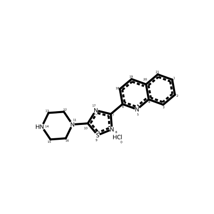 Cl.c1ccc2nc(-c3nsc(N4CCNCC4)n3)ccc2c1